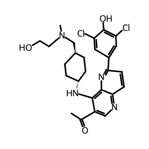 CC(=O)c1cnc2ccc(-c3cc(Cl)c(O)c(Cl)c3)nc2c1N[C@H]1CC[C@H](CN(C)CCO)CC1